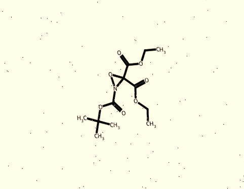 CCOC(=O)C1(C(=O)OCC)ON1C(=O)OC(C)(C)C